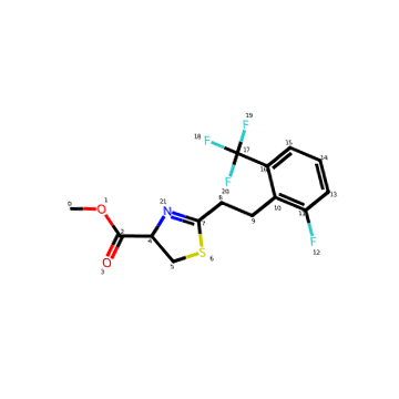 COC(=O)C1CSC(CCc2c(F)cccc2C(F)(F)F)=N1